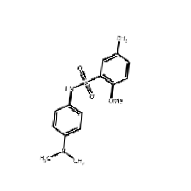 Bc1ccc(OC)c(S(=O)(=O)Nc2ccc(N(C)C)cc2)c1